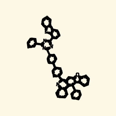 c1ccc(-c2nc(-c3ccc(-c4ccc(-c5nc6ccccc6c6c(-c7ccccc7)c7c(cc56)oc5ccccc57)cc4)cc3)nc(-c3cccc4c3sc3ccccc34)n2)cc1